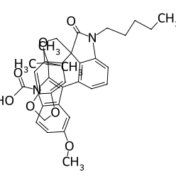 CCCCCN1C(=O)C2(COc3cc4c(cc32)OCO4)c2c(-c3c(C(C)(C)C)n(C(=O)O)c4ccc(OC)cc34)cccc21